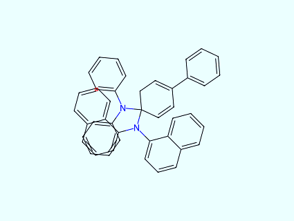 C1=CC(N(c2ccccc2)c2ccccc2)(N(c2cccc3ccccc23)c2cccc3ccccc23)CC=C1c1ccccc1